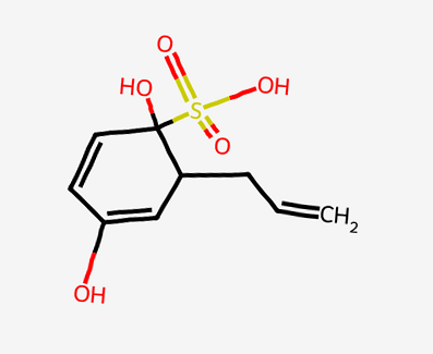 C=CCC1C=C(O)C=CC1(O)S(=O)(=O)O